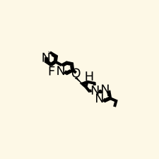 CCc1cnc(N2CC3[C@@H](COc4ccc(-c5ccncc5F)nc4)[C@@H]3C2)nc1